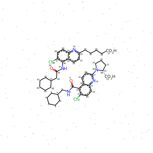 O=C(NCC1CCCCC1)c1c(Cl)ccc2nc(N3CCC[C@@H]3C(=O)O)ccc12.O=C(O)CCCCc1ccc2c(NC(=O)CC3CCCCC3)c(Cl)ccc2n1